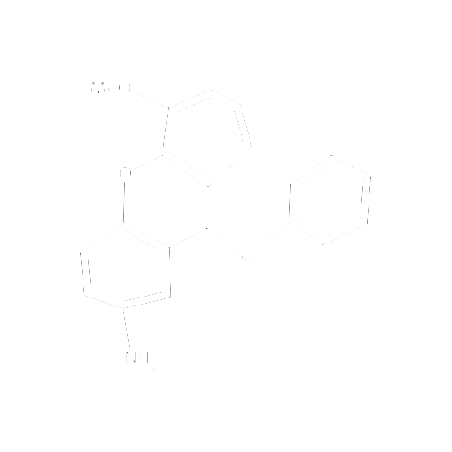 COc1cc[c]cc1Oc1ccc(N)cc1CSc1ccccc1